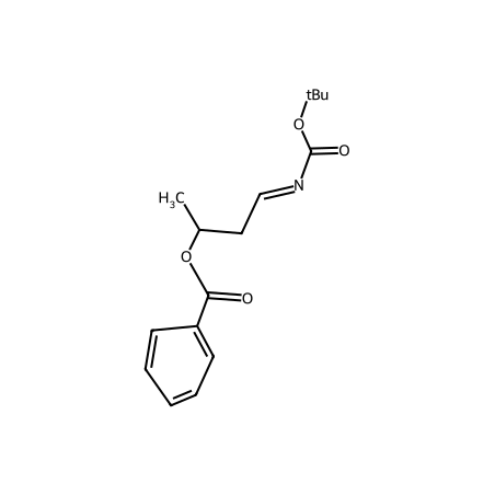 CC(CC=NC(=O)OC(C)(C)C)OC(=O)c1ccccc1